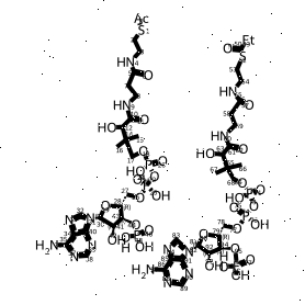 CC(=O)SCCNC(=O)CCNC(=O)C(O)C(C)(C)COP(=O)(O)OP(=O)(O)OC[C@H]1O[C@@H](n2cnc3c(N)ncnc32)[C@H](O)[C@@H]1OP(=O)(O)O.CCC(=O)SCCNC(=O)CCNC(=O)C(O)C(C)(C)COP(=O)(O)OP(=O)(O)OC[C@H]1O[C@@H](n2cnc3c(N)ncnc32)[C@H](O)[C@@H]1OP(=O)(O)O